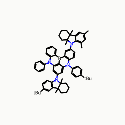 Cc1cc(C)c2c(c1)C1(C)CCCCC1(C)N2c1ccc2c(c1)B1c3ccccc3N(c3ccccc3)c3cc(N4c5ccc(C(C)(C)C)cc5C5(C)CCCCC45C)cc(c31)N2c1ccc(C(C)(C)C)cc1